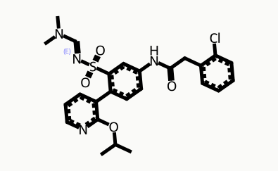 CC(C)Oc1ncccc1-c1ccc(NC(=O)Cc2ccccc2Cl)cc1S(=O)(=O)/N=C/N(C)C